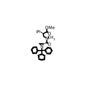 COC(=O)[C@@H](CN(C)C(=O)[C@@H]1CN1C(c1ccccc1)(c1ccccc1)c1ccccc1)C(C)C